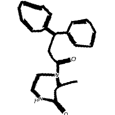 CC1C(=O)NCCN1C(=O)CC(c1ccccc1)c1ccccc1